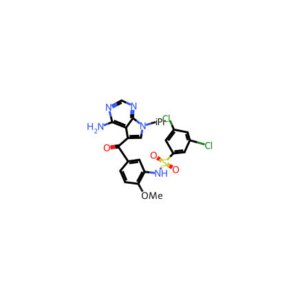 COc1ccc(C(=O)c2cn(C(C)C)c3ncnc(N)c23)cc1NS(=O)(=O)c1cc(Cl)cc(Cl)c1